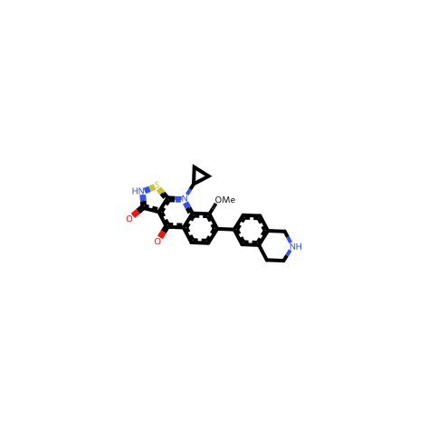 COc1c(-c2ccc3c(c2)CCNC3)ccc2c(=O)c3c(=O)[nH]sc3n(C3CC3)c12